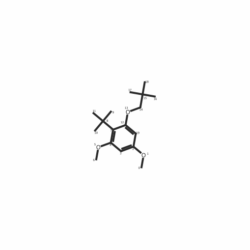 COc1cc(OC)c(C(C)(C)C)c(OCC(C)(C)C)c1